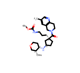 CO[C@@H]1COCC[C@@H]1N[C@@H]1CC[C@](CCCNC(=O)OC(C)(C)C)(C(=O)N2CCc3ncc(C(F)(F)F)cc3C2)C1